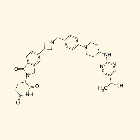 CC(C)c1cnc(NC2CCN(c3ccc(CN4CC(c5ccc6c(c5)CN(C5CCC(=O)NC5=O)C6=O)C4)cc3)CC2)nc1